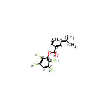 C=C/C(=C\C=C(C)C)C(=O)Oc1c(F)c(F)cc(F)c1F